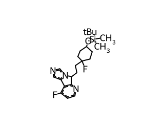 CC(C)(C)[Si](C)(C)OC1CCC(F)(CCC2c3nccc(F)c3-c3cncn32)CC1